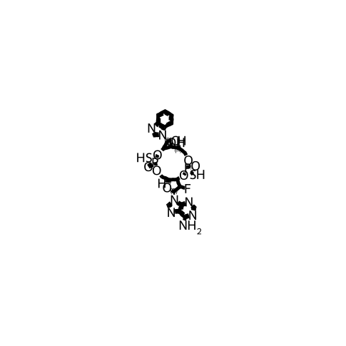 Nc1ncnc2c1ncn2[C@@H]1O[C@@H]2COP(=O)(S)OC3C(O)[C@@H](COP(=O)(S)OC2C1F)O[C@H]3n1cnc2ccccc21